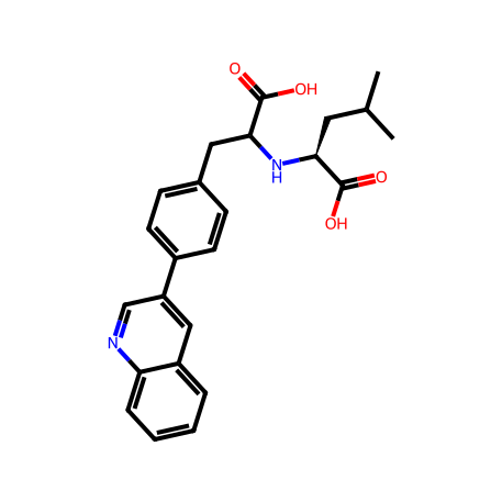 CC(C)C[C@H](NC(Cc1ccc(-c2cnc3ccccc3c2)cc1)C(=O)O)C(=O)O